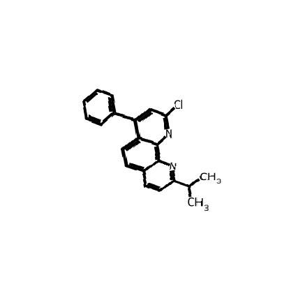 CC(C)c1ccc2ccc3c(-c4ccccc4)cc(Cl)nc3c2n1